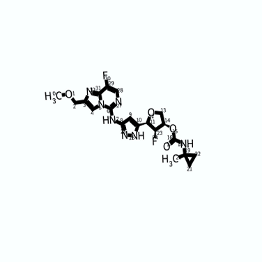 COCc1cn2c(Nc3cc([C@H]4OC[C@@H](OC(=O)NC5(C)CC5)[C@H]4F)[nH]n3)ncc(F)c2n1